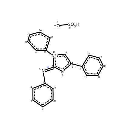 O=S(=O)(O)O.c1ccc(/N=c2\[n-]n(-c3ccccc3)c[n+]2-c2ccccc2)cc1